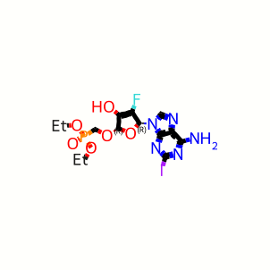 CCOP(=O)(CO[C@H]1O[C@@H](n2cnc3c(N)nc(I)nc32)C(F)=C1O)OCC